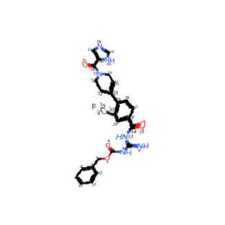 N=C(NC(=O)OCc1ccccc1)NC(=O)c1ccc(C2=CCN(C(=O)c3cnc[nH]3)CC2)c(C(F)(F)F)c1